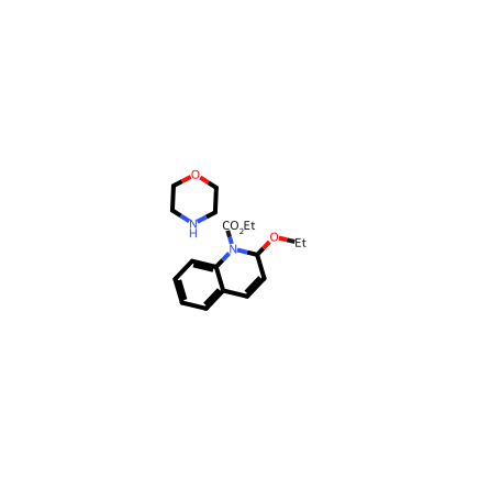 C1COCCN1.CCOC(=O)N1c2ccccc2C=CC1OCC